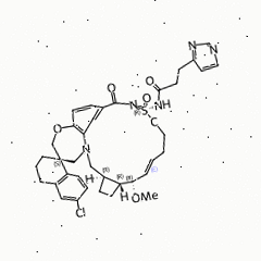 CO[C@H]1/C=C/CCC[S@@](=O)(NC(=O)CCc2ccncn2)=NC(=O)c2ccc3c(c2)N(C[C@@H]2CC[C@H]21)C[C@@]1(CCCc2cc(Cl)ccc21)CO3